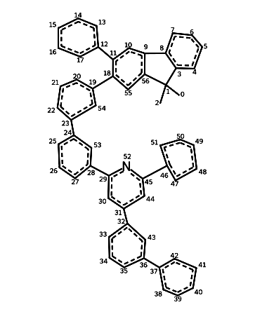 CC1(C)c2ccccc2-c2cc(-c3ccccc3)c(-c3cccc(-c4cccc(-c5cc(-c6cccc(-c7ccccc7)c6)cc(-c6ccccc6)n5)c4)c3)cc21